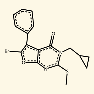 CSc1nc2oc(Br)c(-c3ccccc3)c2c(=O)n1CC1CC1